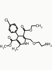 CCOC(=O)C1=C(COCCN)NC(C)=C(C(=O)OC)C1c1ccc(Cl)cc1